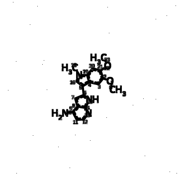 COc1cc2c(-c3cc4c(N)ccnc4[nH]3)cn(C)c2cc1OC